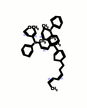 C=C(/C=C\C(=C)N(C(/C=C\C)=C/C)c1ccccc1)C(=C)/C=C\C(=C)N(c1ccccc1)c1ccc(C2=CCC(CC/C=C\C=C/C)C=C2)cc1